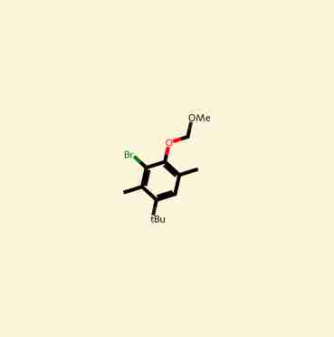 COCOc1c(C)cc(C(C)(C)C)c(C)c1Br